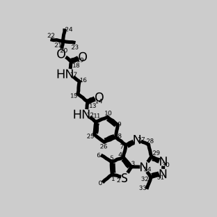 Cc1sc2c(c1C)C(c1ccc(NC(=O)CCNC(=O)OC(C)(C)C)cc1)=NCc1nnc(C)n1-2